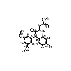 COC(=O)CCC(=O)N(c1cc(OC)cc(OC)c1)c1ccc(C)cc1C